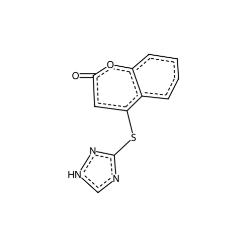 O=c1cc(Sc2nc[nH]n2)c2ccccc2o1